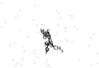 CCCON=C(COc1ccc(OCC)c(C(=O)OCC)c1)c1cc(-c2ccc(F)cc2)no1